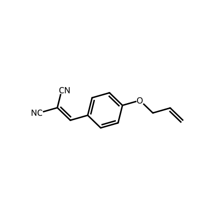 C=CCOc1ccc(C=C(C#N)C#N)cc1